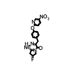 N#C[C@@H]1C[C@H](F)CN1C(=O)[C@@H](N)Cc1ccc(Oc2ccc([N+](=O)[O-])cn2)cc1